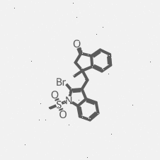 CC1(Cc2c(Br)n(S(C)(=O)=O)c3ccccc23)CC(=O)c2ccccc21